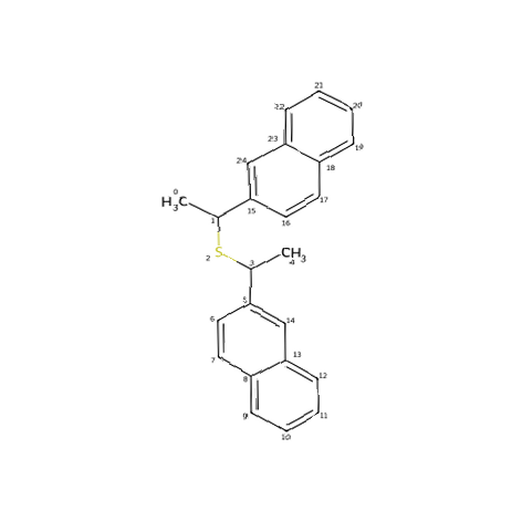 CC(SC(C)c1ccc2ccccc2c1)c1ccc2ccccc2c1